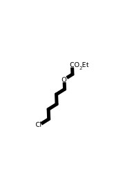 CCOC(=O)COCCCCCCl